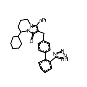 CCCc1c(Cc2ccc(-c3ccccc3-c3nnn[nH]3)cc2)c(=O)n2n1CCCC2C1CCCCC1